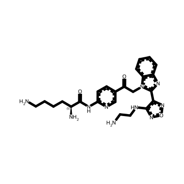 NCCCC[C@H](N)C(=O)Nc1ccc(C(=O)Cn2c(-c3nonc3NCCN)nc3ccccc32)cn1